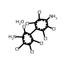 Nc1c(Cl)c(Cl)c(-c2c(Cl)c(N)c(Cl)c(Cl)c2Cl)c(Cl)c1Cl.O